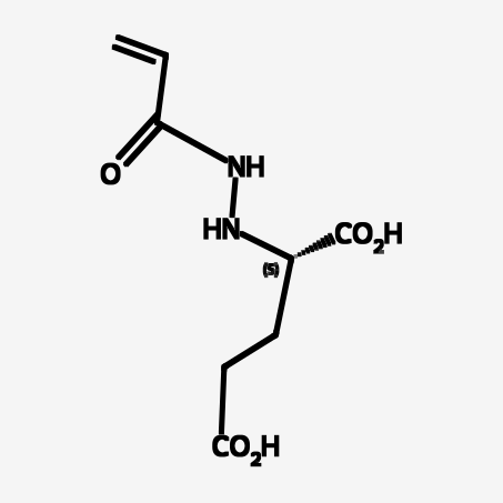 C=CC(=O)NN[C@@H](CCC(=O)O)C(=O)O